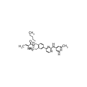 C/C=C(\N)C(=O)N[C@H](CCCCC)c1ccc(-c2ccnc(N/C(C=N)=C/NC)n2)cc1CC